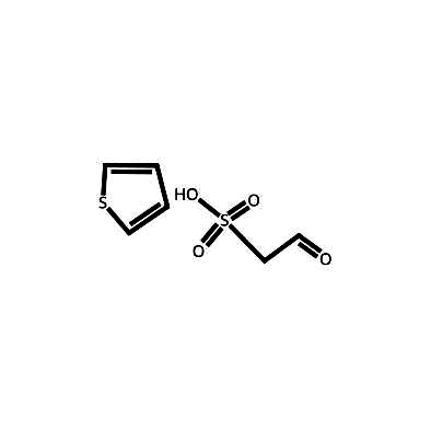 O=CCS(=O)(=O)O.c1ccsc1